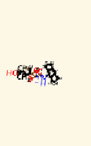 CC(C)(O)c1cc(S(=O)(=O)NC(=O)Nc2c3c(cc4c2CCC4)CCC3)cs1